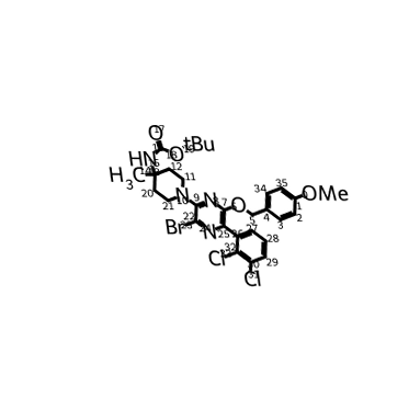 COc1ccc(COc2nc(N3CCC(C)(NC(=O)OC(C)(C)C)CC3)c(Br)nc2-c2cccc(Cl)c2Cl)cc1